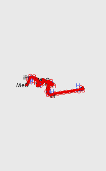 COCCOCCC(=O)N[C@@H](C(=O)N[C@H](C)C(=O)Nc1ccc(COC(=O)N2c3cc(OCCCCCOc4cc5c(cc4OC)C(=O)N4C=C(C)C[C@H]4[C@H](O)N5C(=O)OCc4ccc(NC(=O)[C@@H](C)NC(=O)[C@H](CC(=O)CCOCCOCCOCCOCCOCCOCCOCCOCCNC(=O)CCN5C(=O)C=CC5=O)C(C)C)cc4)c(OC)cc3C(=O)N3C=C(C)C[C@H]3[C@@H]2O)cc1)C(C)C